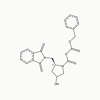 O=C(OCc1ccccc1)OC(=O)N1CC(O)C[C@H]1CN1C(=O)c2ccccc2C1=O